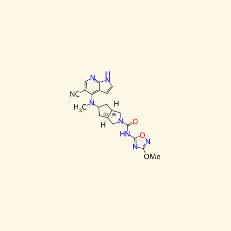 COc1noc(NC(=O)N2C[C@H]3CC(N(C)c4c(C#N)cnc5[nH]ccc45)C[C@H]3C2)n1